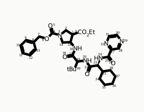 CCOC(=O)C1CN(C(=O)OCc2ccccc2)CC1NC(=O)C(NC(=O)[C@@H](NC(=O)c1cnccn1)C1CCCCC1)C(C)(C)C